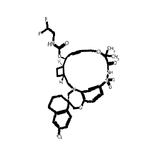 CC1(C)OCC=C[C@H](OC(=O)NCC(F)F)[C@@H]2CC[C@H]2CN2C[C@@]3(CCCc4cc(Cl)ccc43)COc3ccc(cc32)S(=O)(=O)NC1=O